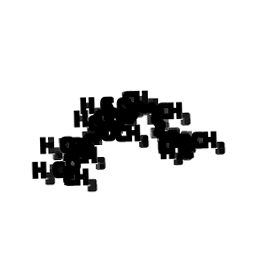 Cc1c(C)c2c(c(C)c1OC(=O)CCC(=O)OC(C)(C)COC(C)C)CCC(C)(CCCC(C)CCCC(C)CCCC(C)C)O2